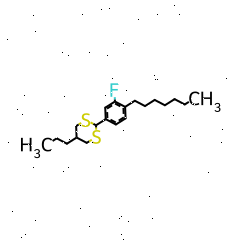 CCCCCCCc1ccc(C2SCC(CCC)CS2)cc1F